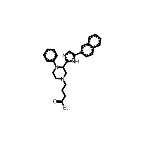 CCC(=O)CCCN1CCN(c2ccccc2)C(c2ncc(-c3ccc4ccccc4c3)[nH]2)C1